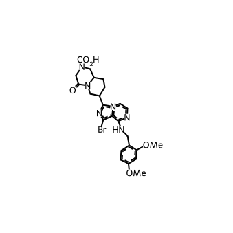 COc1ccc(CNc2nccn3c(C4CCC5CN(C(=O)O)CC(=O)N5C4)nc(Br)c23)c(OC)c1